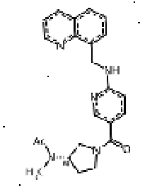 CC(=O)N(C)[C@H]1CCN(C(=O)c2ccc(NCc3cccc4cccnc34)nc2)C1